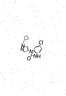 O=c1[nH]c2ccc(Cl)cc2n1-c1cnn(CC2CCC2)c1